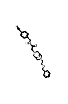 N#Cc1ccc(CNC(=O)CN2CC3CN(CCOCc4ccccc4)CC(C2)O3)cc1